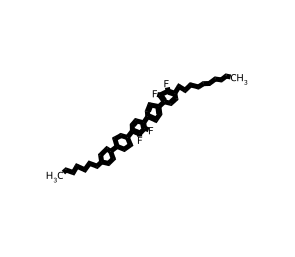 CCCCCCCCCCc1ccc(-c2ccc(-c3ccc(C4CCC(C5CCC(CCCCCCC)CC5)CC4)c(F)c3F)cc2)c(F)c1F